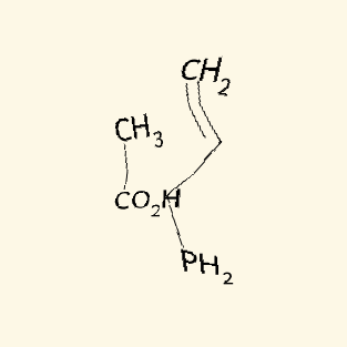 C=CCP.CC(=O)O